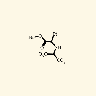 CCC(NC(C(=O)O)C(=O)O)C(=O)OC(C)(C)C